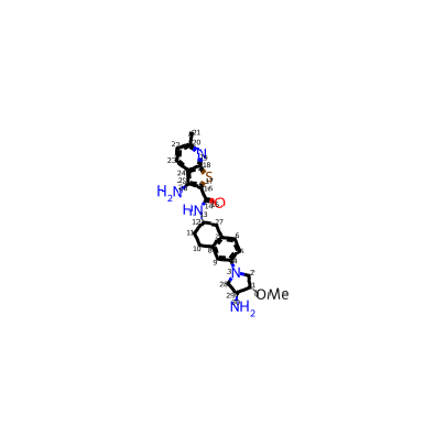 CO[C@H]1CN(c2ccc3c(c2)CC[C@H](NC(=O)c2sc4nc(C)ccc4c2N)C3)C[C@@H]1N